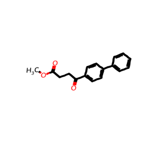 COC(=O)CCC(=O)c1ccc(-c2ccccc2)cc1